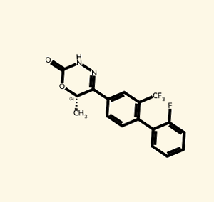 C[C@@H]1OC(=O)NN=C1c1ccc(-c2ccccc2F)c(C(F)(F)F)c1